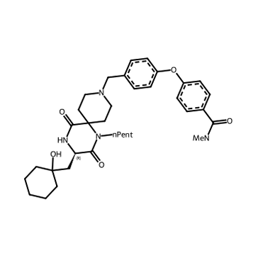 CCCCCN1C(=O)[C@@H](CC2(O)CCCCC2)NC(=O)C12CCN(Cc1ccc(Oc3ccc(C(=O)NC)cc3)cc1)CC2